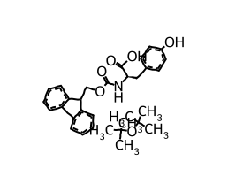 CC(C)(C)OC(C)(C)C.O=C(N[C@H](Cc1ccc(O)cc1)C(=O)O)OCC1c2ccccc2-c2ccccc21